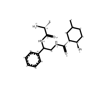 CC1CC[C@@H](C(C)C)[C@H](C(=O)NCC(NC(=O)[C@@H](C)N)c2ccccc2)C1